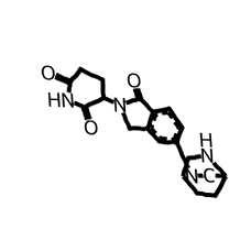 O=C1CCC(N2Cc3cc(N4CC5CCC4CN5)ccc3C2=O)C(=O)N1